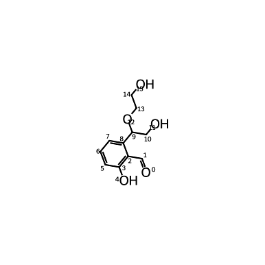 O=Cc1c(O)cccc1C(CO)OCCO